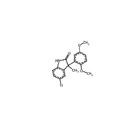 COc1ccc(OC)c(C2(C)C(=O)Nc3ccc(Cl)cc32)c1